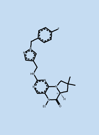 CCN1C(=O)[C@@H]2CC(C)(C)CN2c2nc(NCc3cnn(Cc4ccc(F)cc4)c3)ncc21